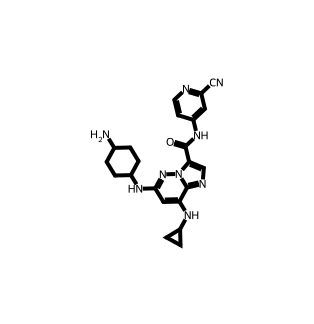 N#Cc1cc(NC(=O)c2cnc3c(NC4CC4)cc(NC4CCC(N)CC4)nn23)ccn1